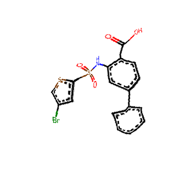 O=C(O)c1ccc(-c2ccccc2)cc1NS(=O)(=O)c1cc(Br)cs1